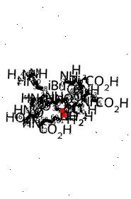 CC[C@H](C)[C@H](N)C(=O)N[C@@H](CC(=O)O)C(=O)N[C@@H](CCC(=O)O)C(=O)N[C@@H](C)C(=O)N[C@@H](CC(=O)O)C(=O)N[C@@H](CCC(=O)O)C(=O)N[C@@H](CCCNC(=N)N)C(=O)N[C@@H](C)C(=O)N[C@H](C(=O)N[C@@H](CCCCN)C(=O)O)[C@@H](C)O